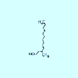 CCCCCCCCC=CC(C)CCO